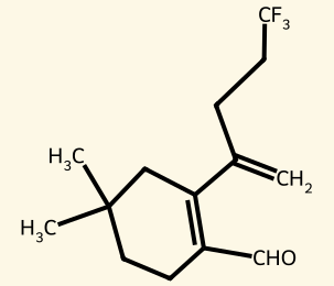 C=C(CCC(F)(F)F)C1=C(C=O)CCC(C)(C)C1